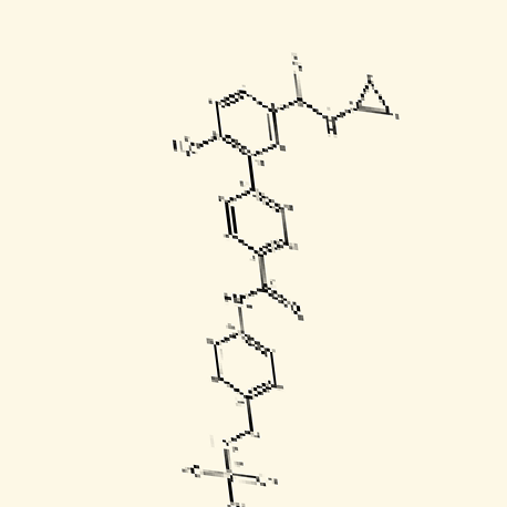 Cc1ccc(C(=O)NC2CC2)cc1-c1ccc(C(=O)Nc2ccc(CNS(C)(=O)=O)cc2)cc1